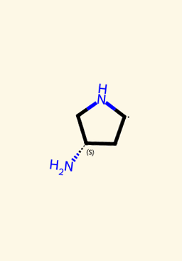 N[C@H]1C[CH]NC1